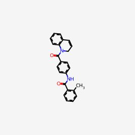 Cc1ccccc1C(=O)Nc1ccc(C(=O)N2CC=Cc3ccccc32)cc1